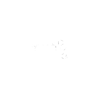 O=C(Oc1ccccc1C(=O)NCCCCCO[N+](=O)[O-])c1cccnc1